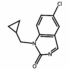 O=c1ncc2cc(Cl)ccc2n1CC1CC1